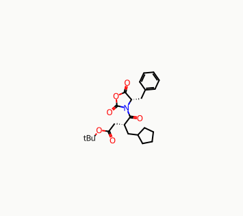 CC(C)(C)OC(=O)C[C@@H](CC1CCCC1)C(=O)N1C(=O)OC(=O)[C@@H]1Cc1ccccc1